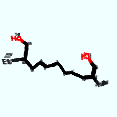 CCCCC(CO)CCCCCCCC(CC)CO